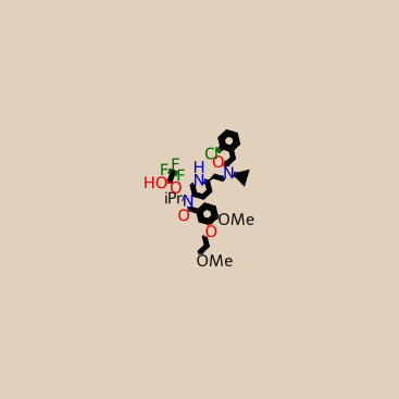 COCCCOc1cc(C(=O)N(C(C)C)[C@@H]2CC[C@H](CCN(C(=O)Cc3ccccc3Cl)C3CC3)NC2)ccc1OC.O=C(O)C(F)(F)F